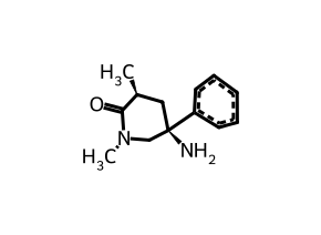 C[C@H]1C[C@](N)(c2ccccc2)CN(C)C1=O